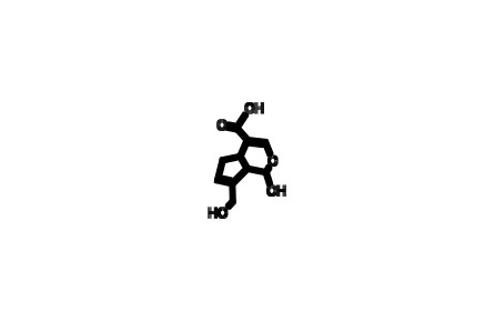 O=C(O)C1=COC(O)C2C(CO)=CCC12